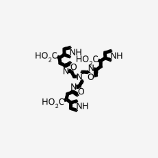 O=C(O)C(Cc1coc(CN(Cc2nc(CC(C(=O)O)C3CCNC3)co2)Cc2nc(CC(C(=O)O)C3CCNC3)co2)n1)C1CCNC1